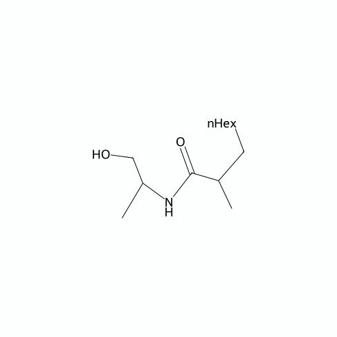 CCCCCCCC(C)C(=O)NC(C)CO